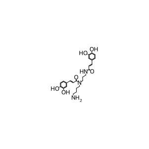 NCCCCN(CCCNC(=O)/C=C/c1ccc(O)c(O)c1)C(=O)/C=C/c1ccc(O)c(O)c1